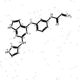 C=CC(=O)Nc1cccc(Oc2nc(Nc3cc[nH]n3)nc3[nH]ccc23)c1